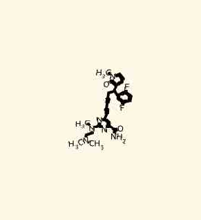 CN(C)CCN(C)c1nc(C#CC#CCC(c2cc(F)ccc2F)c2cccn(C)c2=O)cc(C(N)=O)n1